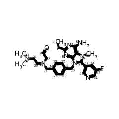 CCc1nc(N)c2c(n1)N(Cc1ccc(CN(CC=O)CCN(C)C)cc1)C(c1cncc(F)c1)N2C